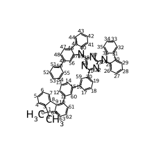 CC1(C)c2ccccc2-c2c(-c3cccc(-c4cccc(-c5nc(-n6c7ccccc7c7ccccc76)nc(-n6c7ccccc7c7ccc(-c8ccccc8)cc76)n5)c4)c3)cccc21